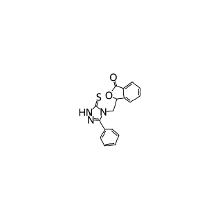 O=C1OC(Cn2c(-c3ccccc3)n[nH]c2=S)c2ccccc21